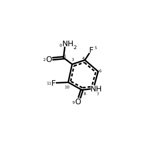 NC(=O)c1c(F)c[nH]c(=O)c1F